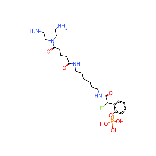 NCCN(CCN)C(=O)CCCC(=O)NCCCCCCNC(=O)C(F)c1ccccc1O[PH](O)(O)O